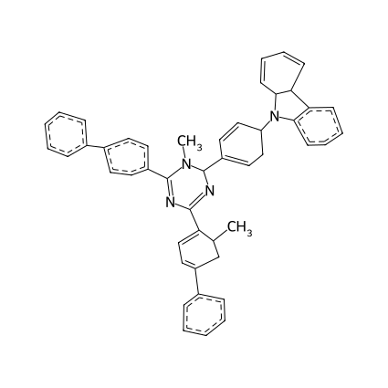 CC1CC(c2ccccc2)=CC=C1C1=NC(C2=CCC(N3c4ccccc4C4C=CC=CC43)C=C2)N(C)C(c2ccc(-c3ccccc3)cc2)=N1